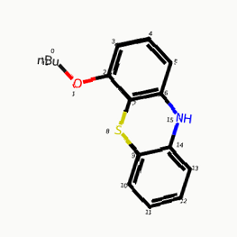 CCCCOc1cccc2c1Sc1ccccc1N2